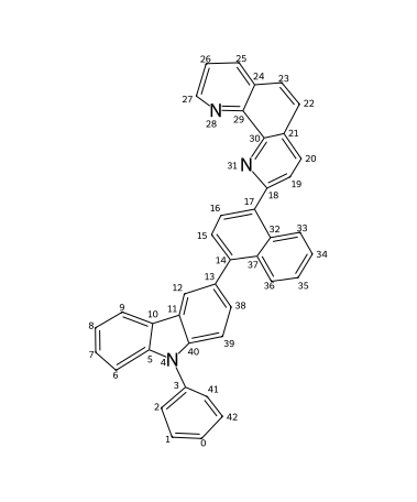 c1ccc(-n2c3ccccc3c3cc(-c4ccc(-c5ccc6ccc7cccnc7c6n5)c5ccccc45)ccc32)cc1